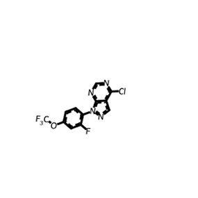 Fc1cc(OC(F)(F)F)ccc1-n1ncc2c(Cl)ncnc21